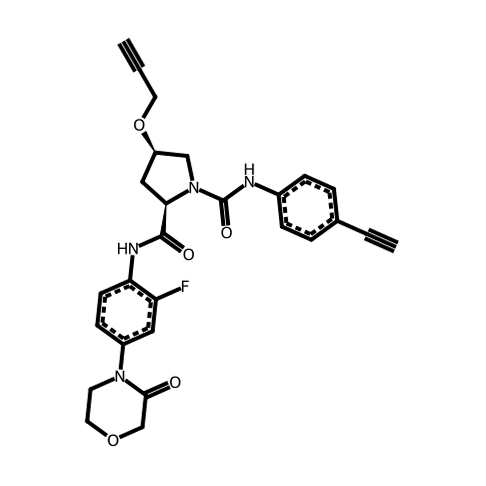 C#CCO[C@@H]1C[C@H](C(=O)Nc2ccc(N3CCOCC3=O)cc2F)N(C(=O)Nc2ccc(C#C)cc2)C1